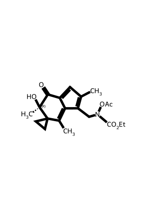 CCOC(=O)N(CC1=C(C)C=C2C(=O)[C@](C)(O)C3(CC3)C(C)=C21)OC(C)=O